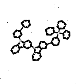 c1ccc(-c2cccc(-n3c4ccccc4c4cc(-n5c6ccccc6c6cc(-c7cccc([Si](c8ccccc8)(c8ccccc8)c8ccccc8)c7)ccc65)ccc43)c2)cc1